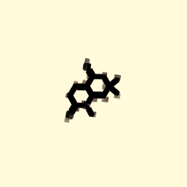 CN1C(=O)CC=C2C(=O)CC(C)(C)C=C21